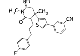 CN1C(=N)C[C@](C)(c2cc(-c3cccc(C#N)c3)cs2)C(CCCc2ccc(F)cc2)C1=O